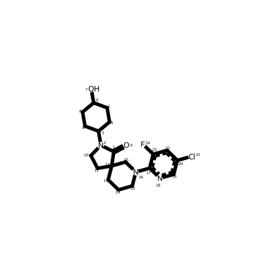 O=C1N(C2CCC(O)CC2)CCC12CCCN(c1ncc(Cl)cc1F)C2